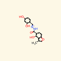 Cc1coc2ccc(C(=O)N/N=C/c3ccc(O)cc3O)c(O)c12